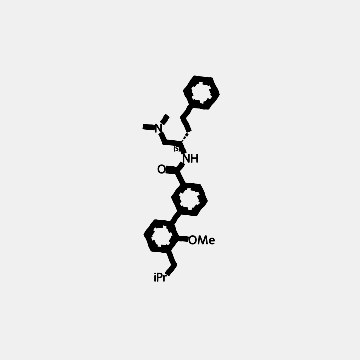 COc1c(CC(C)C)cccc1-c1cccc(C(=O)N[C@@H](CCc2ccccc2)CN(C)C)c1